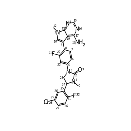 CN1C(=O)N(c2ccc(-c3cn(C)c4ncnc(N)c34)c(F)c2)CC1c1cc(Cl)ccc1F